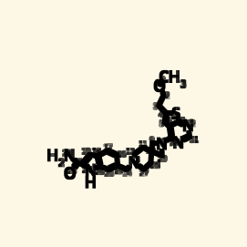 COCCc1cc2c(N3CC4(CCN(Cc5ccc6cc(C(N)=O)[nH]c6c5)CC4)C3)ncnc2s1